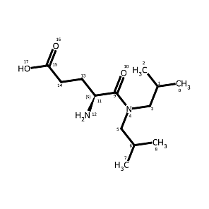 CC(C)CN(CC(C)C)C(=O)[C@@H](N)CCC(=O)O